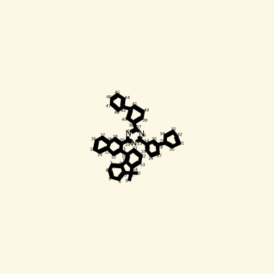 CC1(C)c2ccccc2-c2c(-c3cc4ccccc4cc3-c3nc(-c4cccc(-c5ccccc5)c4)nc(-c4cccc(-c5ccccc5)c4)n3)cccc21